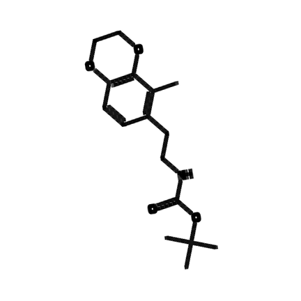 Cc1c(CCNC(=O)OC(C)(C)C)ccc2c1OCCO2